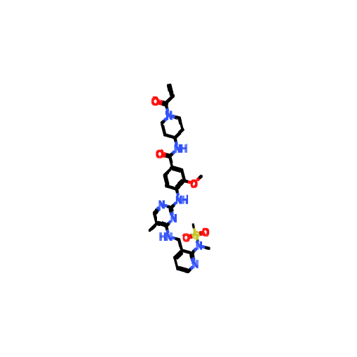 C=CC(=O)N1CCC(NC(=O)c2ccc(Nc3ncc(C)c(NCc4cccnc4N(C)S(C)(=O)=O)n3)c(OC)c2)CC1